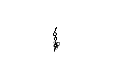 C=CCCC1CCC(C2CCC(COc3ccc(OCC)c(F)c3Cl)CC2)CC1